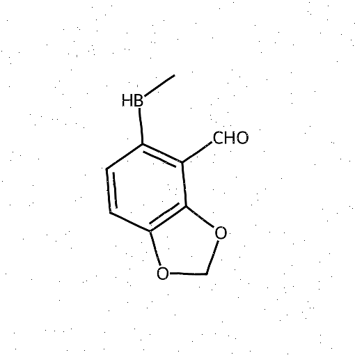 CBc1ccc2c(c1C=O)OCO2